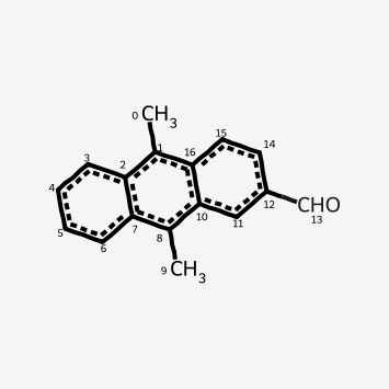 Cc1c2ccccc2c(C)c2cc(C=O)ccc12